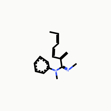 C=C(/C=C\C=C/C)/C(=N\C)N(C)c1ccccc1